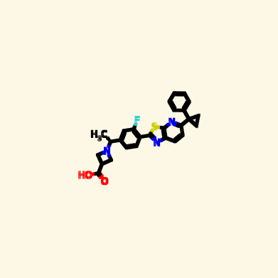 C[C@@H](c1ccc(-c2nc3ccc(C4(c5ccccc5)CC4)nc3s2)c(F)c1)N1CC(C(=O)O)C1